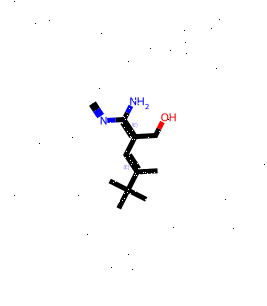 C=N/C(N)=C(\C=C(/C)C(C)(C)C)CO